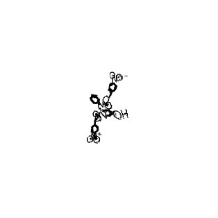 O=C(OCc1ccc([N+](=O)[O-])cc1)N(C[C@@H]1C[C@@H](O)CN1C(=O)OCc1ccc([N+](=O)[O-])cc1)c1ccccc1